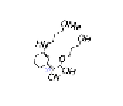 COCCCNC1=C/C(=C(/C#N)C(O)OCCCO)CCC1